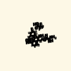 Cc1ccc(NS(=O)(=O)Cc2cccc(F)c2)c(=O)n1C(CCONC(=N)N)C(N)=O.O=C(O)C(F)(F)F